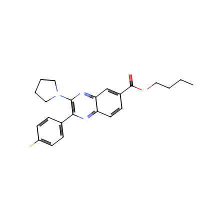 CCCCOC(=O)c1ccc2nc(-c3ccc(F)cc3)c(N3CCC[C@@H]3C)nc2c1